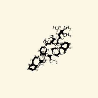 CC(C)N1CCN(c2c(F)cccc2[C@H]2S[C@](C)(CC(=O)N3CCC(N4CCc5ccccc5NC4=O)CC3)C(=O)N2CCC(C)(C)C)CC1